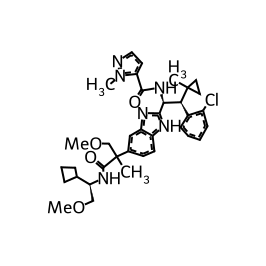 COC[C@H](NC(=O)C(C)(COC)c1ccc2[nH]c([C@@H](NC(=O)c3ccnn3C)[C@H](c3ccccc3Cl)C3(C)CC3)nc2c1)C1CCC1